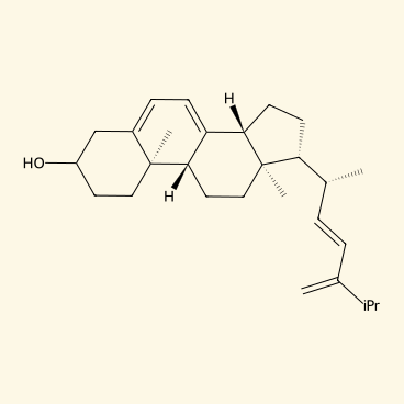 C=C(C=C[C@@H](C)[C@H]1CC[C@H]2C3=CC=C4CC(O)CC[C@]4(C)[C@H]3CC[C@]12C)C(C)C